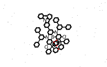 c1ccc(-c2cc(-c3ccccc3)cc(N3c4cc5c(cc4B4c6cc7c(cc6N(c6cc(-c8ccccc8)cc(-c8ccccc8)c6)c6cc(-c8ccc9c(c8)c8cccc%10c%11ccccc%11n9c%108)cc3c64)Oc3ccccc3C7(c3ccccc3)c3ccccc3)C(c3ccccc3)(c3ccccc3)c3ccccc3O5)c2)cc1